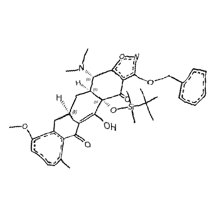 COc1ccc(C)c2c1C[C@H]1C[C@H]3[C@H](N(C)C)c4onc(OCc5ccccc5)c4C(=O)[C@@]3(O[Si](C)(C)C(C)(C)C)C(O)=C1C2=O